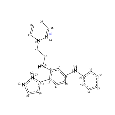 C=CN(CCNc1cc(Nc2ccccc2)ccc1-c1ccn[nH]1)/N=C\C